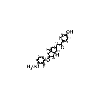 COc1cccc(OC2C[C@@H]3CN(CC(=O)c4ccc(O)cn4)C[C@@H]3C2)c1F